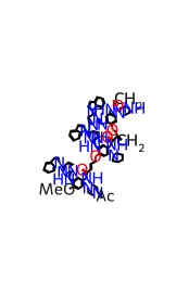 C=CC(=O)Nc1cc(Nc2nccc(-n3ccc4ccccc43)n2)c(OCC(=C)C(=O)Nc2cc(Nc3nccc(-n4ccc5ccccc54)n3)c(OC/C=C/C(=O)Nc3cc(Nc4nccc(-n5ccc6ccccc65)n4)c(OC)cc3N3CCN(C(C)=O)CC3)cc2N2CCCCC2)cc1N1CCNCC1